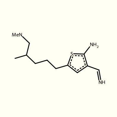 CNCC(C)CCCc1cc(C=N)c(N)s1